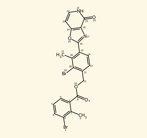 Cc1c(Br)cccc1C(=O)OCc1ccc(-c2nc3c(=O)[nH]ccc3o2)c(C)c1Br